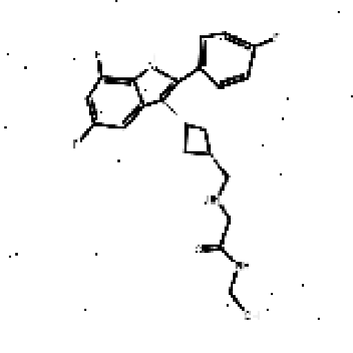 O=C(CNC[C@H]1C[C@H](c2c(-c3ccc(F)cc3)[nH]c3c(F)cc(F)cc32)C1)NCO